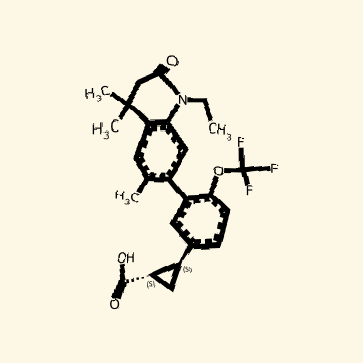 CCN1C(=O)CC(C)(C)c2cc(C)c(-c3cc([C@H]4C[C@@H]4C(=O)O)ccc3OC(F)(F)F)cc21